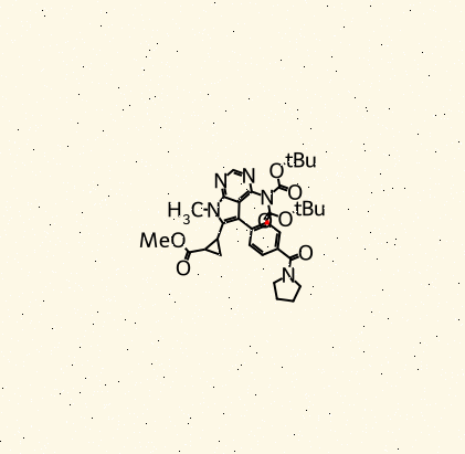 COC(=O)C1CC1c1c(-c2ccc(C(=O)N3CCCC3)cc2)c2c(N(C(=O)OC(C)(C)C)C(=O)OC(C)(C)C)ncnc2n1C